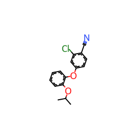 CC(C)Oc1ccccc1Oc1ccc(C#N)c(Cl)c1